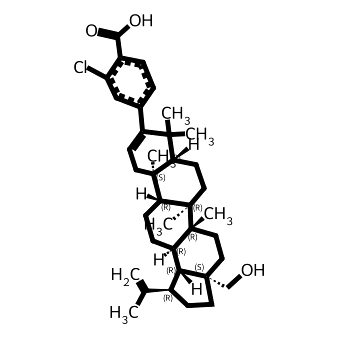 C=C(C)[C@@H]1CC[C@]2(CO)CC[C@]3(C)[C@H](CC[C@@H]4[C@@]5(C)CC=C(c6ccc(C(=O)O)c(Cl)c6)C(C)(C)[C@@H]5CC[C@]43C)[C@@H]12